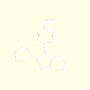 Oc1ccc2nc(-c3ccccc3)n(-c3ccc4c(c3)SCN4)c2n1